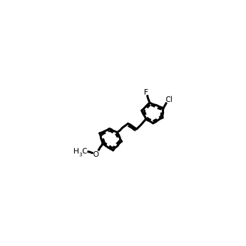 COc1ccc(C=Cc2ccc(Cl)c(F)c2)cc1